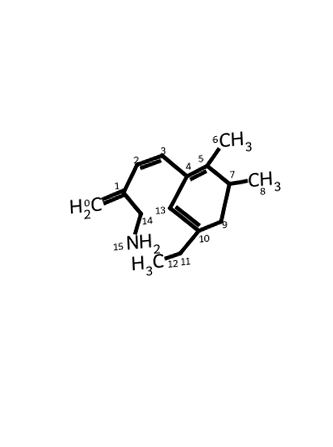 C=C(/C=C\C1=C(C)C(C)CC(CC)=C1)CN